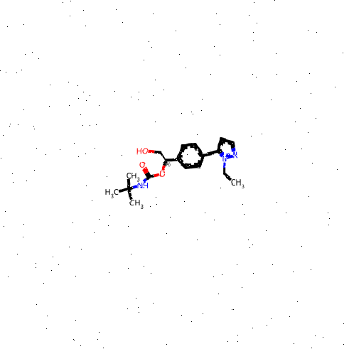 CCn1nccc1-c1ccc([C@H](CO)OC(=O)NC(C)(C)C)cc1